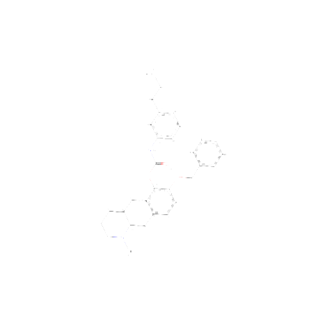 CCCN1CCCC2Cc3c(ccc(OCc4ccccc4)c3OC(=O)Nc3cccc(CCC=O)c3)CC21